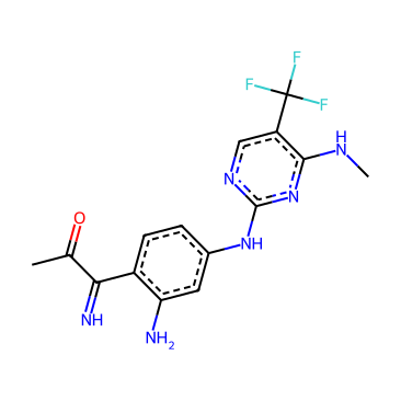 CNc1nc(Nc2ccc(C(=N)C(C)=O)c(N)c2)ncc1C(F)(F)F